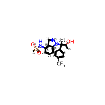 CCC(c1ccc(C(F)(F)F)cc1)(C(C)O)n1ncc2c(NS(C)(=O)=O)cccc21